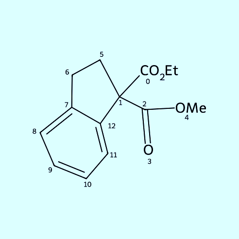 CCOC(=O)C1(C(=O)OC)CCc2ccccc21